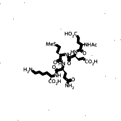 CSCC[C@H](NC(=O)[C@H](CCC(=O)O)NC(=O)[C@H](CCC(=O)O)NC(C)=O)C(=O)N[C@@H](CCC(N)=O)C(=O)N[C@@H](CCCCN)C(=O)O